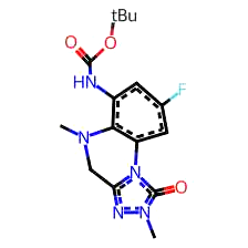 CN1Cc2nn(C)c(=O)n2-c2cc(F)cc(NC(=O)OC(C)(C)C)c21